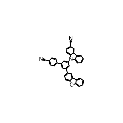 N#Cc1ccc(-c2cc(-c3ccc4oc5ccccc5c4c3)cc(-n3c4ccccc4c4cc(C#N)ccc43)c2)cc1